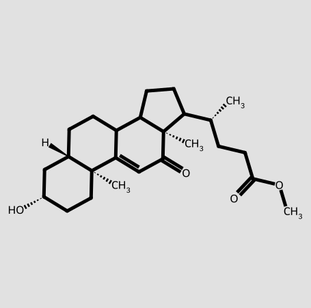 COC(=O)CC[C@@H](C)C1CCC2C3CC[C@H]4C[C@@H](O)CC[C@]4(C)C3=CC(=O)[C@@]21C